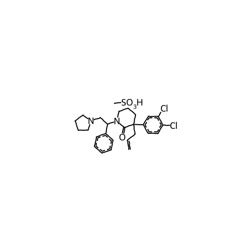 C=CCC1(c2ccc(Cl)c(Cl)c2)CCCN(C(CN2CCCC2)c2ccccc2)C1=O.CS(=O)(=O)O